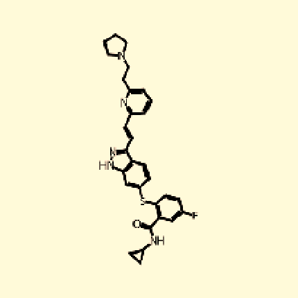 O=C(NC1CC1)c1cc(F)ccc1Sc1ccc2c(/C=C/c3cccc(CCN4CCCC4)n3)n[nH]c2c1